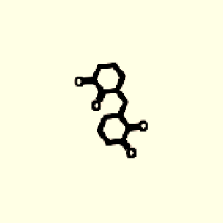 O=C1CCCC(CC2CCCC(=O)C2=O)C1=O